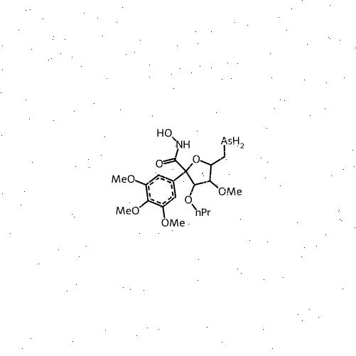 CCCOC1C(OC)C(C[AsH2])OC1(C(=O)NO)c1cc(OC)c(OC)c(OC)c1